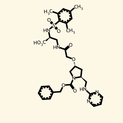 Cc1cc(C)c(S(=O)(=O)N[C@@H](CNC(=O)CO[C@@H]2C[C@@H](CNc3ncccn3)N(C(=O)OCc3ccccc3)C2)C(=O)O)c(C)c1